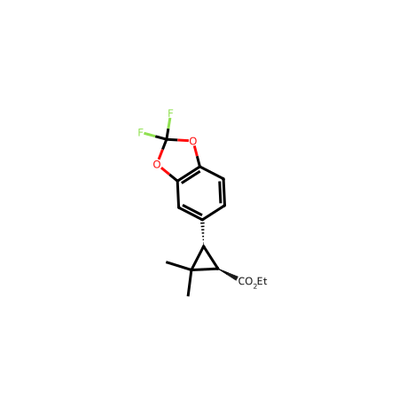 CCOC(=O)[C@@H]1[C@@H](c2ccc3c(c2)OC(F)(F)O3)C1(C)C